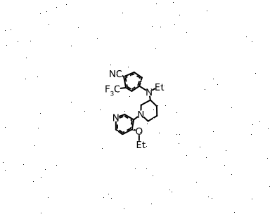 CCOc1ccncc1N1CCCC(N(CC)c2ccc(C#N)c(C(F)(F)F)c2)C1